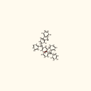 c1ccc(N(c2cccc(-c3ccccc3N(c3ccccc3)c3ccccc3)c2)c2ccc3c(c2)sc2ccccc23)cc1